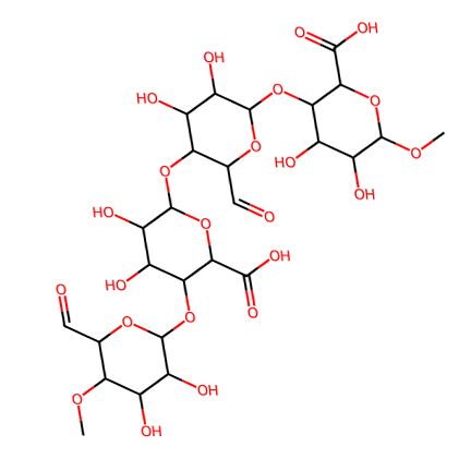 COC1OC(C(=O)O)C(OC2OC(C=O)C(OC3OC(C(=O)O)C(OC4OC(C=O)C(OC)C(O)C4O)C(O)C3O)C(O)C2O)C(O)C1O